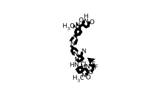 Cn1nc(C2CCC(=O)NC2=O)c2ccc(N3CCN(CC4CCN(c5nc(Nc6ccc7c(c6)c6c(c(=O)n7C)OCC(F)(F)[C@H](C7CC7)N6)c(Cl)cc5C#N)CC4)CC3)cc21